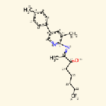 C/C(=N\c1ncc(-c2ccc(C)cc2)cc1C)C(=O)CCCCC(F)(F)F